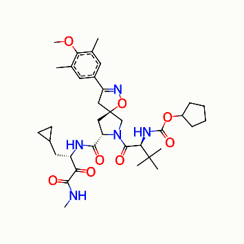 CNC(=O)C(=O)[C@H](CC1CC1)NC(=O)[C@@H]1C[C@]2(CC(c3cc(C)c(OC)c(C)c3)=NO2)CN1C(=O)[C@@H](NC(=O)OC1CCCC1)C(C)(C)C